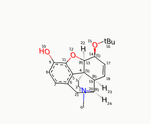 CN1CC[C@]23c4c5ccc(O)c4O[C@H]2[C@@H](OC(C)(C)C)C=C[C@H]3[C@H]1C5